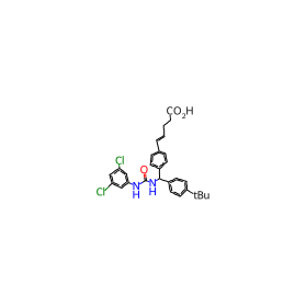 CC(C)(C)c1ccc(C(NC(=O)Nc2cc(Cl)cc(Cl)c2)c2ccc(C=CCCC(=O)O)cc2)cc1